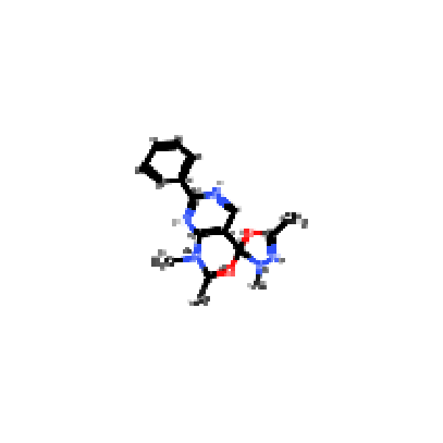 CC(=O)C1OC2(OC(C)=NN2C(C)=O)c2cnc(-c3ccccc3)nc2N1C